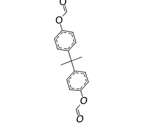 CC(C)(c1ccc(OC=O)cc1)c1ccc(OC=O)cc1